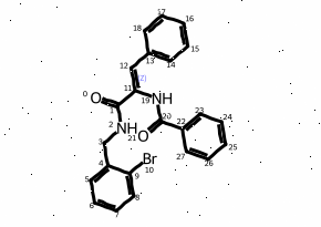 O=C(NCc1ccccc1Br)/C(=C/c1ccccc1)NC(=O)c1ccccc1